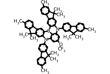 Cc1ccc2c(c1)C(C)(C)c1cc(N3c4cc5c(cc4B4c6cc7c(cc6N(c6ccc8c(c6)C(C)(C)c6cc(C)ccc6-8)c6cc(OC(F)(F)F)cc3c64)C(C)(C)c3cc(C)ccc3-7)-c3ccc(C)cc3C5(C)C)ccc1-2